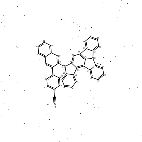 N#Cc1ccc(-c2nc3ccccc3nc2-n2c3ccccc3c3c4c5ccccc5n5c6ccccc6c(cc32)c45)cc1